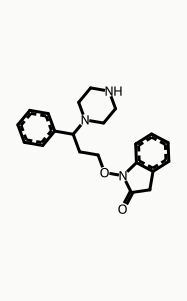 O=C1Cc2ccccc2N1OCCC(c1ccccc1)N1CCNCC1